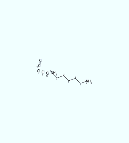 NCCCCCN.[C].[C].[C].[C].[C]